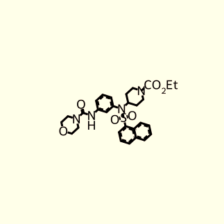 CCOC(=O)N1CCC(N(c2cccc(NC(=O)N3CCOCC3)c2)S(=O)(=O)c2cccc3ccccc23)CC1